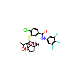 CC(O)C[C@@]1(O)C2CC[C@H]1C[C@H](Sc1cc(C(=O)Nc3cc(F)c(F)c(F)c3)ccc1Cl)C2